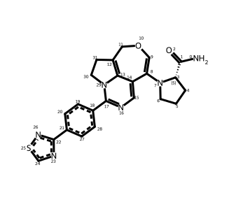 NC(=O)[C@@H]1CCCN1C1=COCC2=C3C1=CN=C(c1ccc(-c4ncsn4)cc1)N3CC2